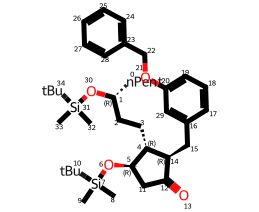 CCCCC[C@H](CC[C@H]1[C@H](O[Si](C)(C)C(C)(C)C)CC(=O)[C@@H]1Cc1cccc(OCc2ccccc2)c1)O[Si](C)(C)C(C)(C)C